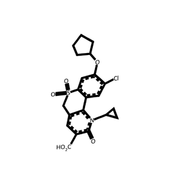 O=C(O)c1cc2c(n(C3CC3)c1=O)-c1cc(Cl)c(OC3CCCC3)cc1S(=O)(=O)C2